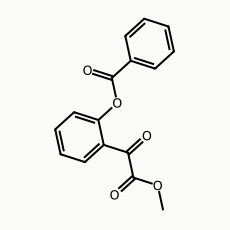 COC(=O)C(=O)c1ccccc1OC(=O)c1ccccc1